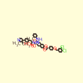 Cc1ccccc1NC(=O)N1Cc2cc3c(cc2C[C@H]1C(=O)NC(Cc1ccc(-c2ccnc(C)c2C)cc1)C(=O)O)OC[C@H](c1ccc(OCc2ccc(Cl)c(Cl)c2)cc1)O3